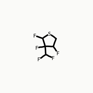 FC(F)C1(F)C(F)CSC1F